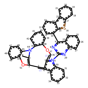 CC1=C2/C=c3\c(n(-c4nc(-c5cccc6c5sc5ccccc56)c5ccccc5n4)c4ccccc34)=C\Oc3ccccc3N1c1ccccc1O2